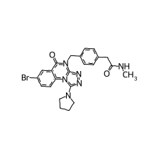 CNC(=O)Cc1ccc(Cn2c(=O)c3cc(Br)ccc3n3c(N4CCCC4)nnc23)cc1